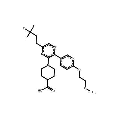 COCCOc1ccc(-c2ncc(CCC(F)(F)F)nc2N2CCC(C(=O)O)CC2)cn1